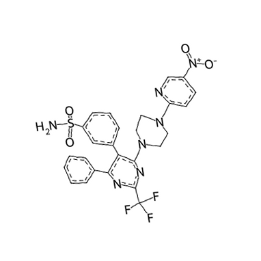 NS(=O)(=O)c1cccc(-c2c(-c3ccccc3)nc(C(F)(F)F)nc2N2CCN(c3ccc([N+](=O)[O-])cn3)CC2)c1